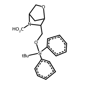 CC(C)(C)[Si](OCC1C2CC(CO2)N1C(=O)O)(c1ccccc1)c1ccccc1